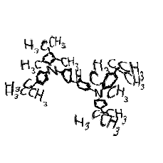 Cc1cc(C(C)C)cc(C)c1N(c1ccc(-c2ccc(N(c3ccc(C(C)(C)C)cc3)c3c(C)cc(C(C)(C)C)cc3C)cc2)cc1)c1ccc(C(C)(C)C)cc1